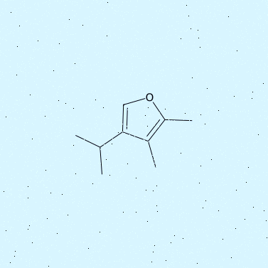 Cc1occ(C(C)C)c1C